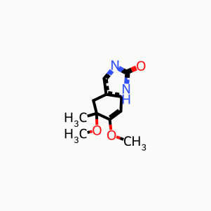 COC1=Cc2[nH]c(=O)ncc2CC1(C)OC